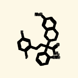 COc1ccc2c(c1)CN(C(CCc1cc(F)ccc1F)(C(N)=O)c1ccccc1OC)CC2